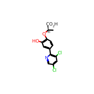 C[C@@H](Oc1ccc(-c2ncc(Cl)cc2Cl)cc1O)C(=O)O